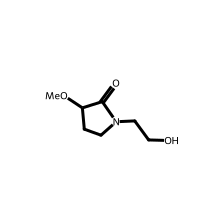 COC1CCN(CCO)C1=O